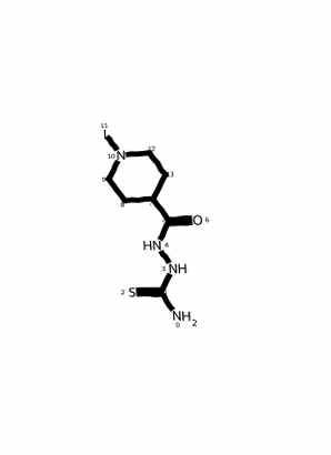 NC(=S)NNC(=O)C1CCN(I)CC1